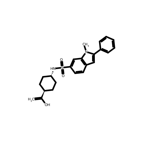 C=C(O)[C@H]1CC[C@H](NS(=O)(=O)c2ccc3cc(-c4ccccc4)n(C)c3c2)CC1